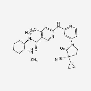 CN[C@@H]1CCCC[C@H]1N(C)C(=O)c1cnc(Nc2cc(N3CC[C@@](C#N)(C4CC4)C3=O)ccn2)cc1C